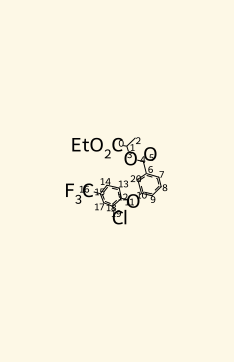 CCOC(=O)C(C)OC(=O)c1cccc(Oc2ccc(C(F)(F)F)cc2Cl)c1